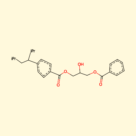 CC(C)CC(c1ccc(C(=O)OCC(O)COC(=O)c2ccccc2)cc1)C(C)C